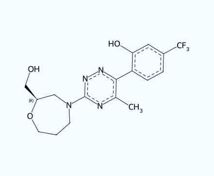 Cc1nc(N2CCCO[C@@H](CO)C2)nnc1-c1ccc(C(F)(F)F)cc1O